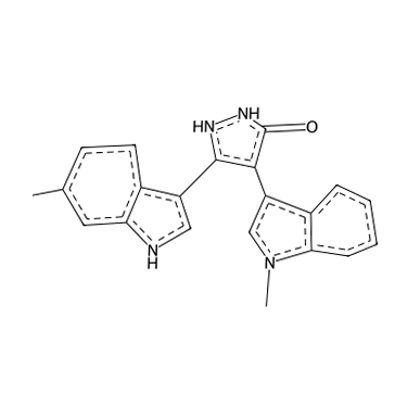 Cc1ccc2c(-c3[nH][nH]c(=O)c3-c3cn(C)c4ccccc34)c[nH]c2c1